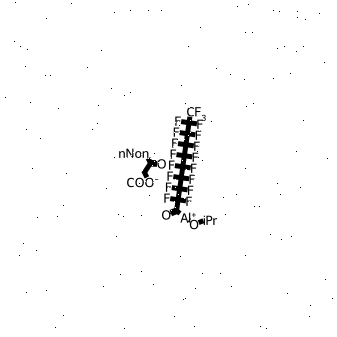 CC(C)[O][Al+][C](=O)C(F)(F)C(F)(F)C(F)(F)C(F)(F)C(F)(F)C(F)(F)C(F)(F)C(F)(F)C(F)(F)F.CCCCCCCCCC(=O)CC(=O)[O-]